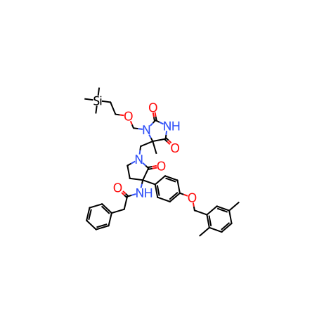 Cc1ccc(C)c(COc2ccc(C3(NC(=O)Cc4ccccc4)CCN(CC4(C)C(=O)NC(=O)N4COCC[Si](C)(C)C)C3=O)cc2)c1